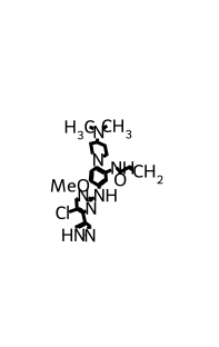 C=CC(=O)Nc1cc(Nc2ncc(Cl)c(-c3cn[nH]c3)n2)c(OC)cc1N1CCC(N(C)C)CC1